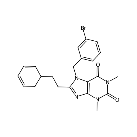 Cn1c(=O)c2c(nc(CCC3C=CC=CC3)n2Cc2cccc(Br)c2)n(C)c1=O